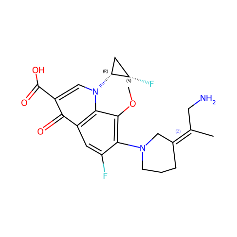 COc1c(N2CCC/C(=C(\C)CN)C2)c(F)cc2c(=O)c(C(=O)O)cn([C@@H]3C[C@@H]3F)c12